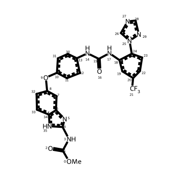 COC(=O)Nc1nc2cc(Oc3ccc(NC(=O)Nc4cc(C(F)(F)F)ccc4-n4cncn4)cc3)ccc2[nH]1